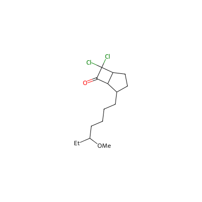 CCC(CCCCC1CCC2C1C(=O)C2(Cl)Cl)OC